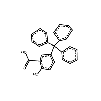 O=C(O)c1cc(C(c2ccccc2)(c2ccccc2)c2ccccc2)ccc1O